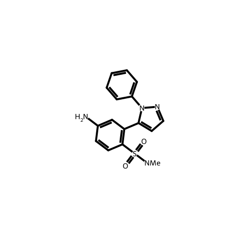 CNS(=O)(=O)c1ccc(N)cc1-c1ccnn1-c1ccccc1